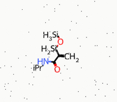 C=C([SiH2]O[SiH3])C(=O)NC(C)C